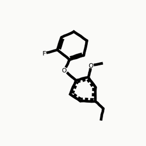 CCc1ccc(OC2=CC[CH]C=C2F)c(OC)c1